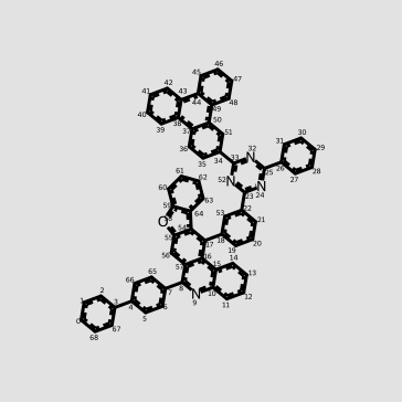 c1ccc(-c2ccc(-c3nc4ccccc4c4c(-c5cccc(-c6nc(-c7ccccc7)nc(-c7ccc8c9ccccc9c9ccccc9c8c7)n6)c5)c5c(cc34)oc3ccccc35)cc2)cc1